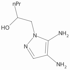 CCCC(O)Cn1ncc(N)c1N